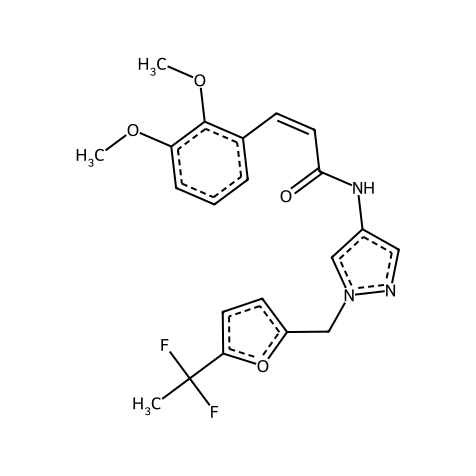 COc1cccc(/C=C\C(=O)Nc2cnn(Cc3ccc(C(C)(F)F)o3)c2)c1OC